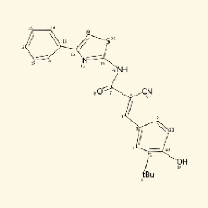 CC(C)(C)c1cc(/C=C(\C#N)C(=O)Nc2nc(-c3ccccc3)cs2)ccc1O